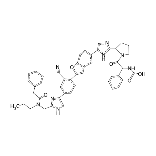 CCCN(Cc1nc(-c2ccc(-c3cc4cc(-c5cnc(C6CCCN6C(=O)C(NC(=O)O)c6ccccc6)[nH]5)ccc4o3)c(C#N)c2)c[nH]1)C(=O)Cc1ccccc1